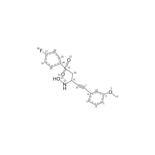 COc1cccc(C#CC(CS(=O)(=O)c2ccc(F)cc2)NO)c1